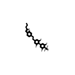 CCCc1cc2ccc(CCc3cc(F)c(-c4cc(F)c(C(F)(F)F)c(F)c4)c(F)c3)cc2s1